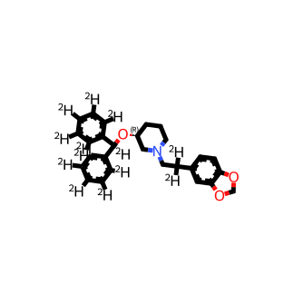 [2H]c1c([2H])c([2H])c(C([2H])(O[C@@H]2CCCN(CC([2H])([2H])c3ccc4c(c3)OCO4)C2)c2c([2H])c([2H])c([2H])c([2H])c2[2H])c([2H])c1[2H]